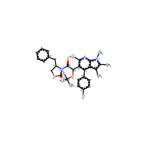 Cc1nc2c(c(C)c(C)n2C)c(-c2ccc(Cl)cc2)c1C(OC(C)(C)C)C(=O)N1C(=O)OCC1Cc1ccccc1